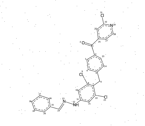 O=C(c1ccc(Cc2c(Cl)cc(NN=Cc3ccccc3)cc2Cl)cc1)c1ccnc(Cl)c1